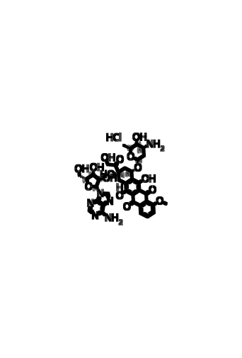 COc1cccc2c1C(=O)c1c(O)c3c(c(O)c1C2=O)C[C@@](O)(C(=O)CO)C[C@@H]3O[C@H]1C[C@H](N)[C@H](O)[C@H](C)O1.Cl.Nc1ncnc2c1ncn2[C@@H]1O[C@H](CO)[C@@H](O)[C@H]1O